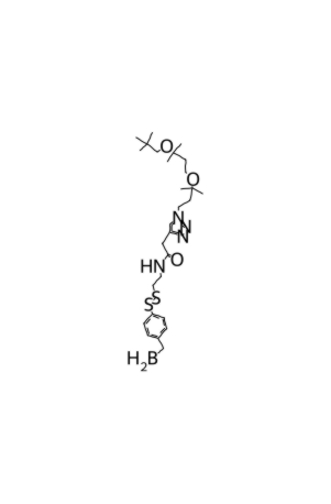 BCc1ccc(SSCCNC(=O)Cc2cn(CCC(C)(C)OCCC(C)(C)OCC(C)(C)C)nn2)cc1